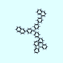 c1ccc(-n2c3ccccc3c3ccccc32)c(-c2ccc(-c3ccc(N(c4ccc(-c5ccc(-c6cccc7ccccc67)cc5)cc4)c4ccc(-c5ccc6ccccc6c5)cc4)cc3)cc2)c1